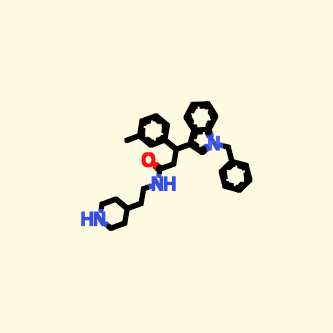 Cc1cccc(C(CC(=O)NCCC2CCNCC2)c2cn(Cc3ccccc3)c3ccccc23)c1